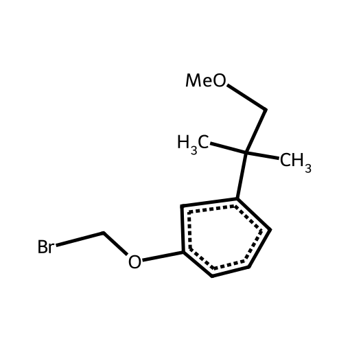 COCC(C)(C)c1cccc(OCBr)c1